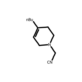 [C-]#[N+]CN1CC=C(CCCC)CC1